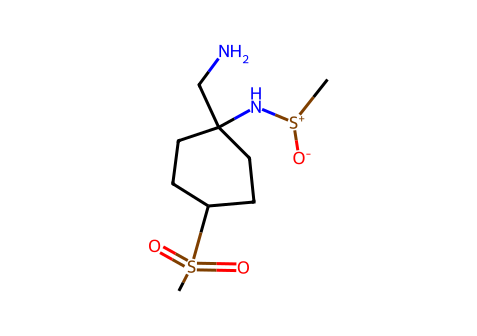 C[S+]([O-])NC1(CN)CCC(S(C)(=O)=O)CC1